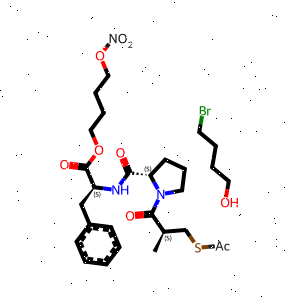 CC(=O)SC[C@@H](C)C(=O)N1CCC[C@H]1C(=O)N[C@@H](Cc1ccccc1)C(=O)OCCCCO[N+](=O)[O-].OCCCCBr